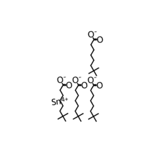 CC(C)(C)CCCCCC(=O)[O-].CC(C)(C)CCCCCC(=O)[O-].CC(C)(C)CCCCCC(=O)[O-].CC(C)(C)CCCCCC(=O)[O-].[Sn+4]